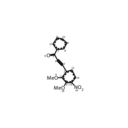 COc1c(C#CC(=O)c2ccccc2)ccc([N+](=O)[O-])c1OC